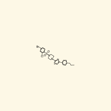 CCCc1ccc(-c2csc(N3CCN(S(=O)(=O)c4ccc(Br)cc4Cl)CC3)n2)cc1